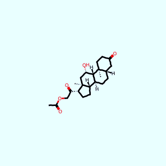 CC(=O)OCC(=O)[C@H]1CC[C@H]2[C@@H]3CC[C@H]4CC(=O)CC[C@]4(C)[C@H]3[C@@H](O)C[C@]12C